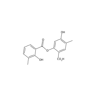 Cc1cc(C(=O)O)c(OC(=O)c2cccc(C)c2O)cc1O